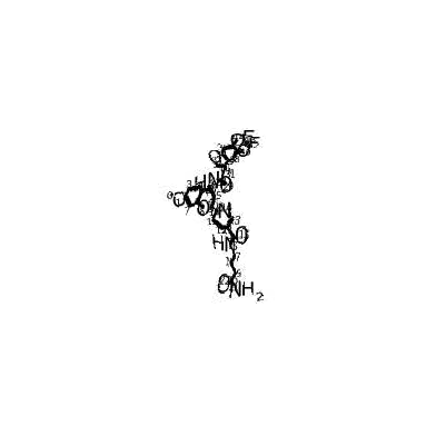 COc1ccc2c(c1)O[C@@H](c1ccc(C(=O)NCCCC(N)=O)cn1)C[C@H]2NC(=O)[C@@]1(C)COc2cc3c(cc21)OC(F)(F)O3